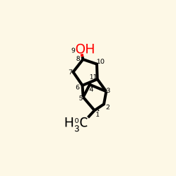 C[C]1CC2CC1C1CC(O)CC21